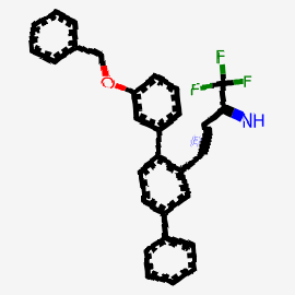 N=C(/C=C/c1cc(-c2ccccc2)ccc1-c1cccc(OCc2ccccc2)c1)C(F)(F)F